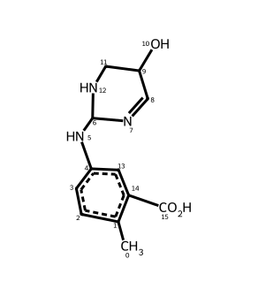 Cc1ccc(NC2N=CC(O)CN2)cc1C(=O)O